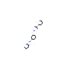 FC(F)(F)c1cnc2nc(-c3cccc(Nc4ncc(-c5ccccn5)cn4)c3)[nH]c2c1